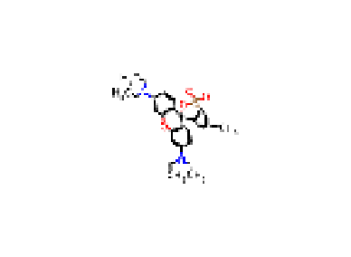 CCN(CC)c1ccc2c(c1)Oc1cc(N(CC)CC)ccc1C21OS(=O)(=O)c2cc(C)ccc21